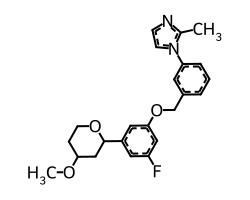 COC1CCOC(c2cc(F)cc(OCc3cccc(-n4ccnc4C)c3)c2)C1